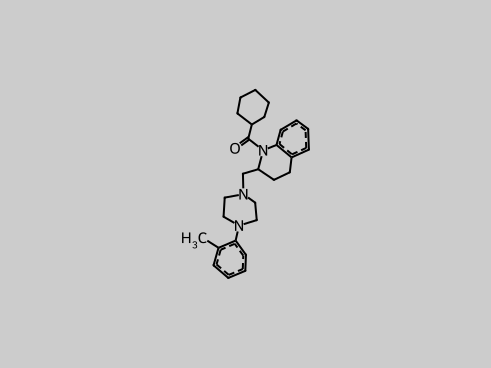 Cc1ccccc1N1CCN(CC2CCc3ccccc3N2C(=O)C2CCCCC2)CC1